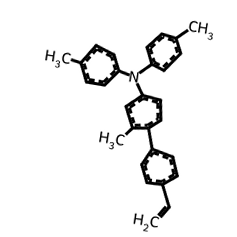 C=Cc1ccc(-c2ccc(N(c3ccc(C)cc3)c3ccc(C)cc3)cc2C)cc1